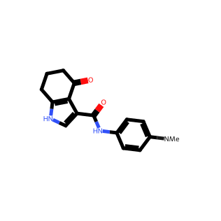 CNc1ccc(NC(=O)c2c[nH]c3c2C(=O)CCC3)cc1